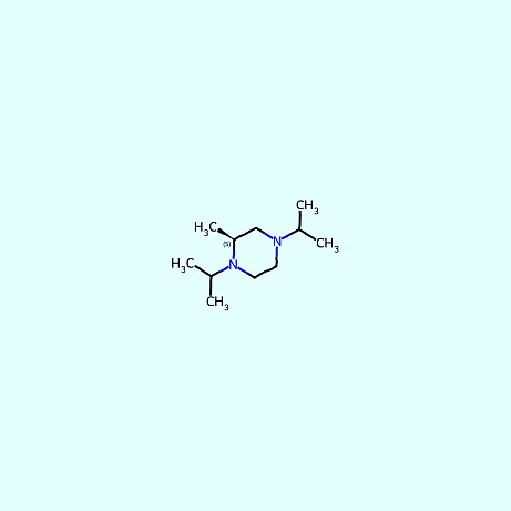 CC(C)N1CCN(C(C)C)[C@@H](C)C1